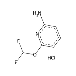 Cl.Nc1cccc(OC(F)F)n1